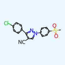 CS(=O)(=O)c1ccc(-n2cc(C#N)c(-c3ccc(Cl)cc3)n2)cc1